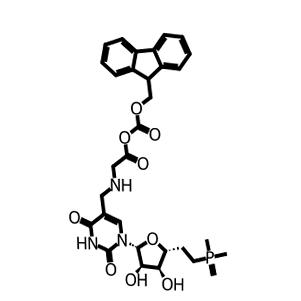 C=P(C)(C)CC[C@H]1O[C@@H](n2cc(CNCC(=O)OC(=O)OCC3c4ccccc4-c4ccccc43)c(=O)[nH]c2=O)[C@H](O)[C@@H]1O